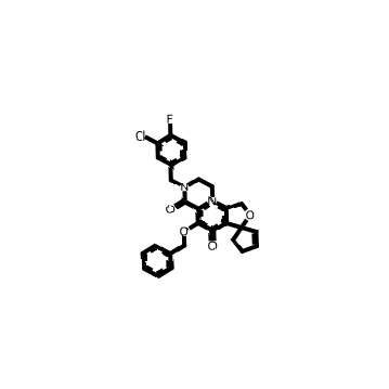 O=C1c2c(OCc3ccccc3)c(=O)c3c(n2CCN1Cc1ccc(F)c(Cl)c1)COC31C=CCC1